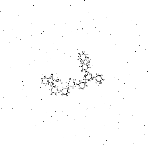 CC1Nc2ccccc2N1c1cccc(-c2cccc(C3=CC(c4cccc(-c5nc(-c6ccccc6)nc(-c6ccc7c(c6)oc6ccccc67)n5)c4)=CCC3)c2)c1